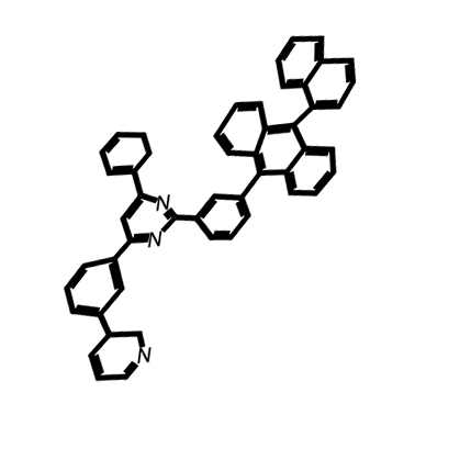 C1=CCCC(c2cc(-c3cccc(C4C=CC=NC4)c3)nc(-c3cccc(-c4c5ccccc5c(-c5cccc6ccccc56)c5ccccc45)c3)n2)=C1